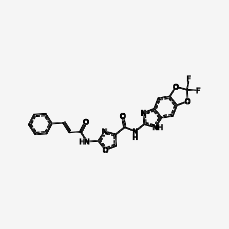 O=C(C=Cc1ccccc1)Nc1nc(C(=O)Nc2nc3cc4c(cc3[nH]2)OC(F)(F)O4)co1